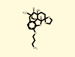 CCCCOc1ccc2c3c1O[C@H]1C4(CC[C@@]5(O)[C@@H](C2)N(C)CC[C@]315)OCCO4